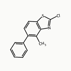 Cc1c(-c2ccccc2)ccc2sc(Cl)nc12